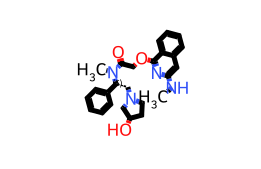 CNc1cc2ccccc2c(OCC(=O)N(C)[C@H](CN2CCC(O)C2)c2ccccc2)n1